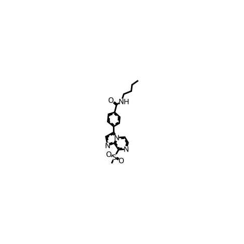 CCCCNC(=O)c1ccc(-c2cnc3c(S(C)(=O)=O)nccn23)cc1